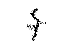 O=C(O)Cc1cc(-c2ccc(-c3ncco3)s2)sc1-c1ccc(-c2sc(-c3ccc(-c4ncco4)s3)cc2CC(=O)O)s1